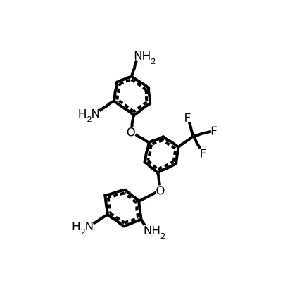 Nc1ccc(Oc2cc(Oc3ccc(N)cc3N)cc(C(F)(F)F)c2)c(N)c1